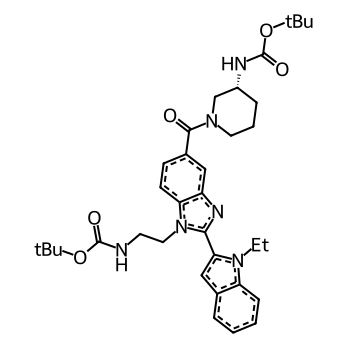 CCn1c(-c2nc3cc(C(=O)N4CCC[C@@H](NC(=O)OC(C)(C)C)C4)ccc3n2CCNC(=O)OC(C)(C)C)cc2ccccc21